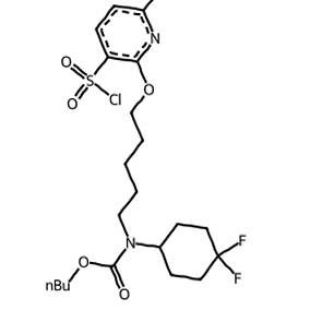 CCCCOC(=O)N(CCCCCOc1nc(C)ccc1S(=O)(=O)Cl)C1CCC(F)(F)CC1